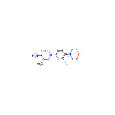 CC(=O)O[C@H](CN)CN(C(=O)O)c1ccc(N2CCOCC2)c(F)c1